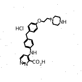 Cl.O=C(O)c1nnccc1Nc1ccc(Cc2ccc(OCCN3CCNCC3)cc2)cc1